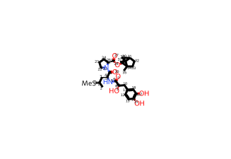 CSC(C)C[C@H](NC(=O)[C@H](O)Cc1ccc(O)c(O)c1)C(=O)N1CCC[C@H]1C(=O)OC1CC2CCC1(C)C2(C)C